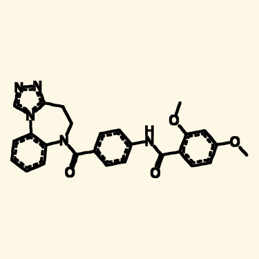 COc1ccc(C(=O)Nc2ccc(C(=O)N3CCc4nncn4-c4ccccc43)cc2)c(OC)c1